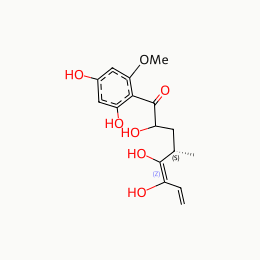 C=C/C(O)=C(/O)[C@@H](C)CC(O)C(=O)c1c(O)cc(O)cc1OC